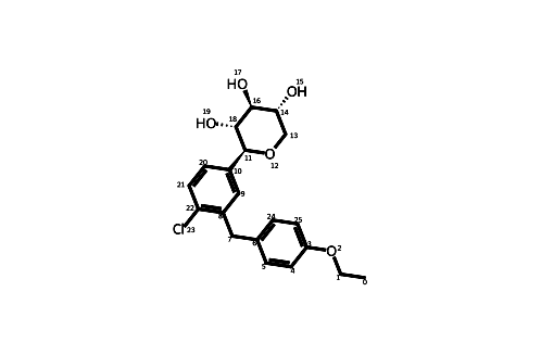 CCOc1ccc(Cc2cc([C@@H]3OC[C@@H](O)[C@H](O)[C@H]3O)ccc2Cl)cc1